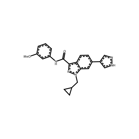 COc1cccc(NC(=O)c2nn(CC3CC3)c3cc(-c4cn[nH]c4)ccc23)c1